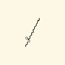 CC=CCCCCCCCCCCCC(=O)OCCCC